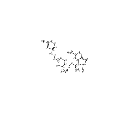 COc1ccc2ncc(Cl)c([C@@H](N)CC[C@H]3CCN(CCSc4cccc(F)c4)C[C@H]3C(=O)O)c2c1